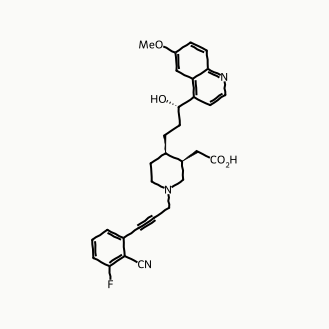 COc1ccc2nccc([C@@H](O)CC[C@@H]3CCN(CC#Cc4cccc(F)c4C#N)C[C@@H]3CC(=O)O)c2c1